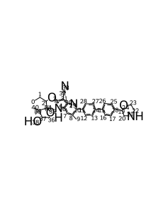 CCC(Oc1[nH]c2cc(C)c(-c3ccc(-c4ccc(C5CNCCO5)cc4)cc3)nc2c1C#N)[C@H]1OCC(O)[C@H]1C